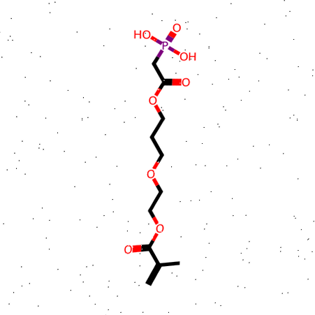 C=C(C)C(=O)OCCOCCCOC(=O)CP(=O)(O)O